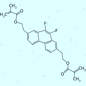 C=C(C)C(=O)OCCc1ccc2c(c1)c(F)c(F)c1cc(CCOC(=O)C(=C)C)ccc12